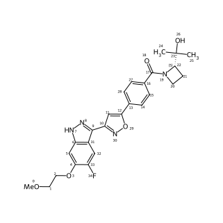 COCCOc1cc2[nH]nc(-c3cc(-c4ccc(C(=O)N5CC[C@H]5C(C)(C)O)cc4)on3)c2cc1F